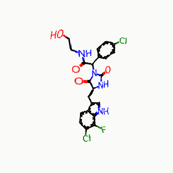 O=C(NCCO)C(c1ccc(Cl)cc1)N1C(=O)NC(=Cc2c[nH]c3c(F)c(Cl)ccc23)C1=O